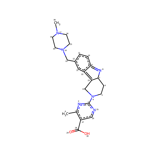 Cc1nc(N2CCC3N=c4ccc(CN5CCN(C)CC5)cc4=C3C2)ncc1C(=O)O